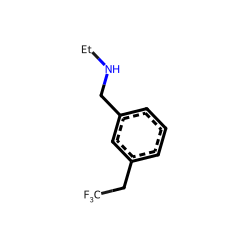 CCNCc1cccc(CC(F)(F)F)c1